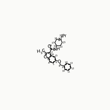 Cc1oc2ccc(OCc3ccccc3)cc2c1C(=O)NC1CCN(C(C)C)CC1